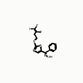 O/N=C(\c1ccccc1)c1cnc(SCCC(F)=C(F)F)s1